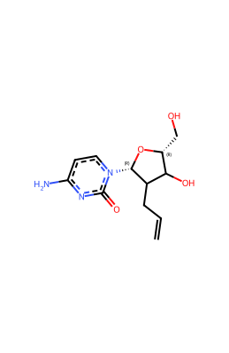 C=CCC1C(O)[C@@H](CO)O[C@H]1n1ccc(N)nc1=O